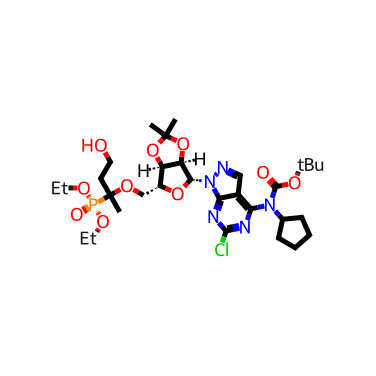 CCOP(=O)(OCC)C(C)(CCO)OC[C@H]1O[C@@H](n2ncc3c(N(C(=O)OC(C)(C)C)C4CCCC4)nc(Cl)nc32)[C@@H]2OC(C)(C)O[C@@H]21